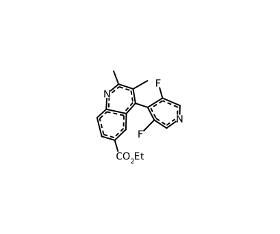 CCOC(=O)c1ccc2nc(C)c(C)c(-c3c(F)cncc3F)c2c1